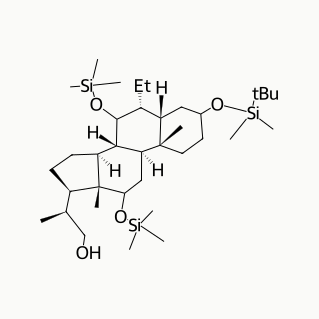 CC[C@H]1C(O[Si](C)(C)C)[C@@H]2[C@H](CC(O[Si](C)(C)C)[C@]3(C)[C@@H]([C@H](C)CO)CC[C@@H]23)[C@@]2(C)CCC(O[Si](C)(C)C(C)(C)C)C[C@@H]12